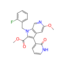 COC(=O)c1c(-c2ccc[nH]c2=O)c2cc(OC)ncc2n1Cc1ccccc1F